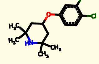 CC1(C)CC(Oc2ccc(Cl)c(Br)c2)CC(C)(C)N1